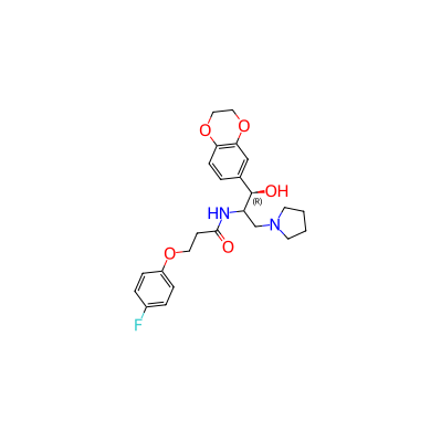 O=C(CCOc1ccc(F)cc1)NC(CN1CCCC1)[C@H](O)c1ccc2c(c1)OCCO2